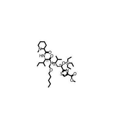 CCCCCOCN(C(=O)[C@@H](NC(=O)C1CCCCN1C)C(C)CC)[C@H](C[C@@H](O[Si](CC)(CC)CC)c1nc(C(=O)OC)cs1)C(C)C